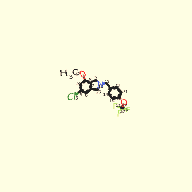 COc1cc(Cl)cc2c1CN(Cc1ccc(OC(F)(F)F)cc1)C2